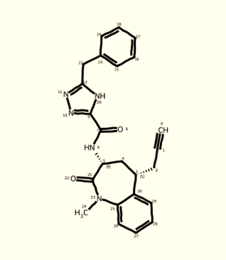 C#CC[C@H]1C[C@@H](NC(=O)c2nnc(Cc3ccccc3)[nH]2)C(=O)N(C)c2ccccc21